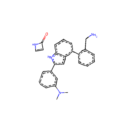 CN(C)c1cccc(-c2cc3c(-c4ccccc4CN)cccc3[nH]2)c1.O=C1C=CN1